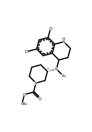 CC(=O)N(C1CCNc2c(Cl)cc(Cl)cc21)[C@H]1CCCN(C(=O)OC(C)(C)C)C1